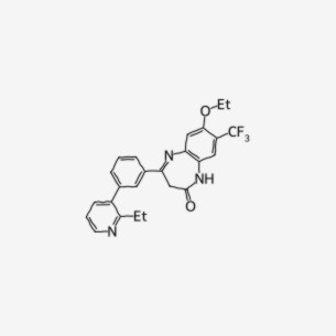 CCOc1cc2c(cc1C(F)(F)F)NC(=O)CC(c1cccc(-c3cccnc3CC)c1)=N2